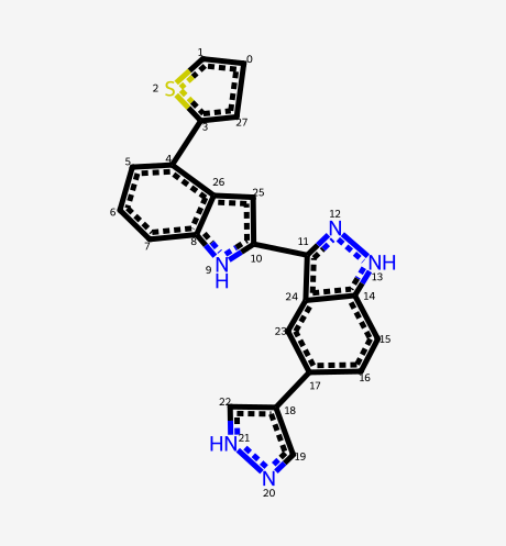 c1csc(-c2cccc3[nH]c(-c4n[nH]c5ccc(-c6cn[nH]c6)cc45)cc23)c1